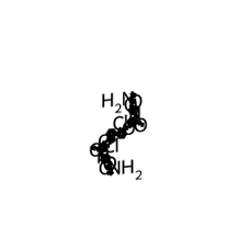 CCOc1cc(O[C@H]2CCc3c(-c4cccc(COc5cc(COC)c(CN6CCC(OC(=O)[C@@H](N)C(C)C)CC6)cc5Cl)c4C)cccc32)c(Cl)cc1CN1CCC(OC(=O)[C@@H](N)C(C)C)CC1